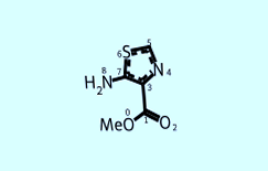 COC(=O)c1ncsc1N